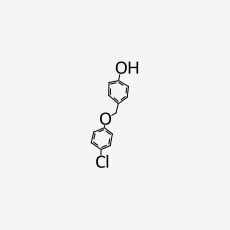 Oc1ccc(COc2ccc(Cl)cc2)cc1